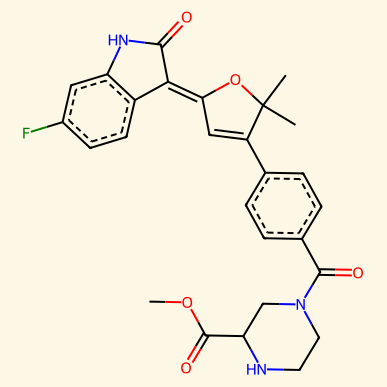 COC(=O)C1CN(C(=O)c2ccc(C3=CC(=C4C(=O)Nc5cc(F)ccc54)OC3(C)C)cc2)CCN1